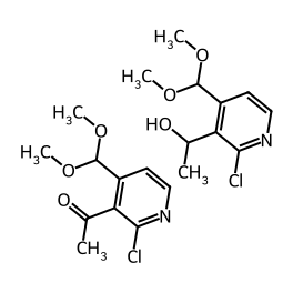 COC(OC)c1ccnc(Cl)c1C(C)=O.COC(OC)c1ccnc(Cl)c1C(C)O